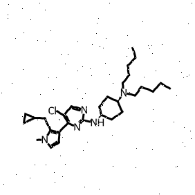 CCCCCN(CCCCC)[C@H]1CC[C@H](Nc2ncc(Cl)c(-c3ccn(C)c3CC3CC3)n2)CC1